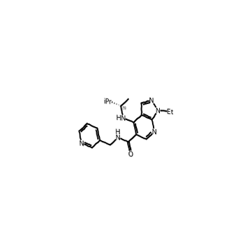 CCn1ncc2c(N[C@@H](C)C(C)C)c(C(=O)NCc3cccnc3)cnc21